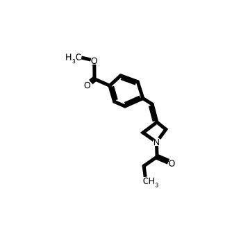 CCC(=O)N1CC(=Cc2ccc(C(=O)OC)cc2)C1